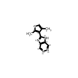 Cc1csc(C)c1-c1nc2cnncc2[nH]1